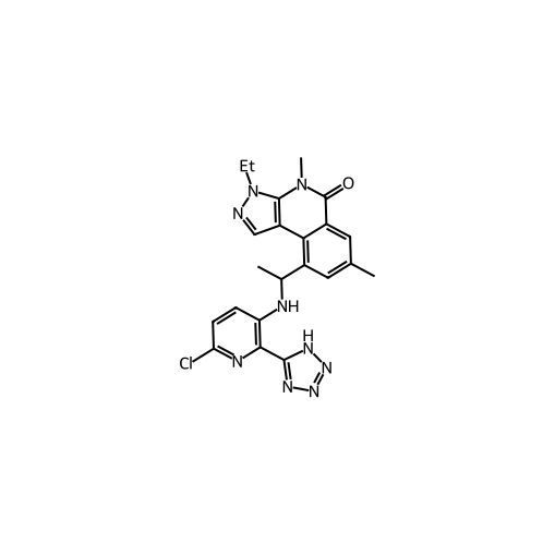 CCn1ncc2c3c(C(C)Nc4ccc(Cl)nc4-c4nnn[nH]4)cc(C)cc3c(=O)n(C)c21